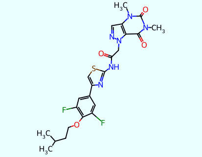 CC(C)CCOc1c(F)cc(-c2csc(NC(=O)Cn3ncc4c3c(=O)n(C)c(=O)n4C)n2)cc1F